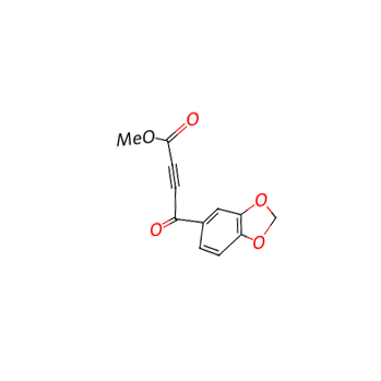 COC(=O)C#CC(=O)c1ccc2c(c1)OCO2